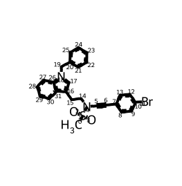 CS(=O)(=O)N(C#Cc1ccc(Br)cc1)CCc1cn(Cc2ccccc2)c2ccccc12